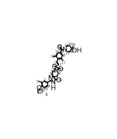 Cc1cc(C2=NC3(CCN(S(=O)(=O)C=Cc4c(C)cc(C(=O)N5CCC(C)(O)CC5)cc4C)CC3)C(=O)N2)ccc1OC(F)(F)F